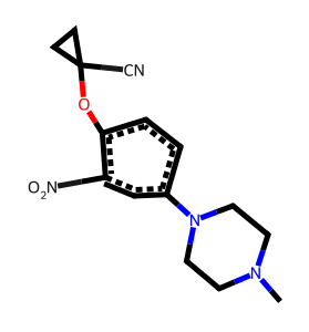 CN1CCN(c2ccc(OC3(C#N)CC3)c([N+](=O)[O-])c2)CC1